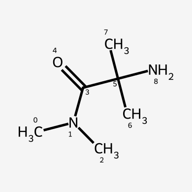 CN(C)C(=O)C(C)(C)N